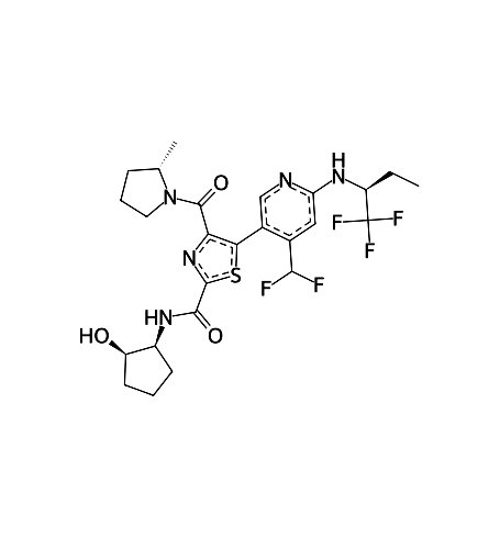 CC[C@H](Nc1cc(C(F)F)c(-c2sc(C(=O)N[C@H]3CCC[C@H]3O)nc2C(=O)N2CCC[C@@H]2C)cn1)C(F)(F)F